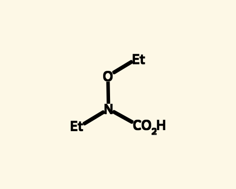 [CH2]CN(OCC)C(=O)O